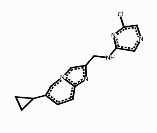 Clc1cncc(NCc2cn3cc(C4CC4)ccc3n2)n1